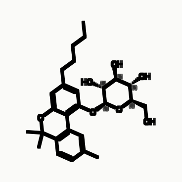 CCCCCc1cc(O[C@@H]2O[C@H](CO)[C@@H](O)[C@H](O)[C@H]2O)c2c(c1)OC(C)(C)c1ccc(C)cc1-2